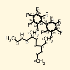 CCCC(CC)CCC(C)CPCC.Fc1c(F)c(F)c(-c2c(F)c(F)c(F)c(F)c2F)c(F)c1F